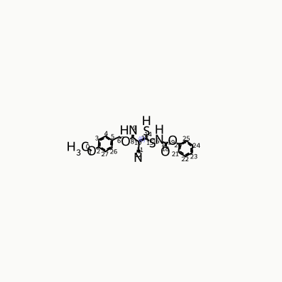 COc1ccc(COC(=N)/C(C#N)=C(\S)SNC(=O)Oc2ccccc2)cc1